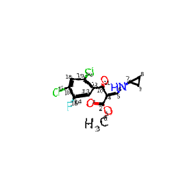 COC(=O)/C(=C/NC1CC1)C(=O)c1cc(F)c(Cl)cc1Cl